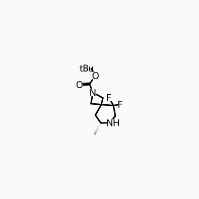 C[C@@H]1CC2(CN(C(=O)OC(C)(C)C)C2)C(F)(F)CN1